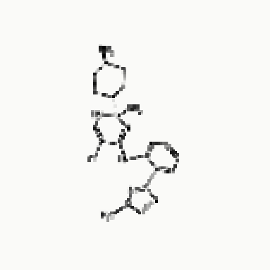 Cn1cnc(-c2ccccc2NC2=NC(N)([C@H]3CC[C@H](N)CC3)NC=C2Cl)n1